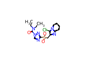 CCN(CC)C(=O)n1cnc(S(=O)(=O)Cc2nc3ccccn3c2Cl)n1